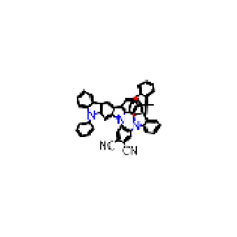 CC1(C)c2ccccc2-c2cc3c4cc5c6ccccc6n(-c6ccccc6)c5cc4n(-c4cc(C#N)c(C#N)cc4-n4c5ccccc5c5ccccc54)c3cc21